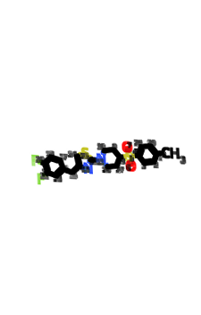 Cc1ccc(S(=O)(=O)C2CCN(c3nc(Cc4ccc(F)c(F)c4)cs3)CC2)cc1